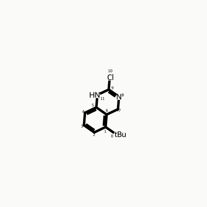 CC(C)(C)c1cccc2c1[CH]N=C(Cl)N2